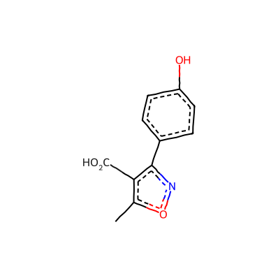 Cc1onc(-c2ccc(O)cc2)c1C(=O)O